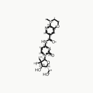 CN1CCOc2cc(C(=O)Nc3ccn(C4O[C@H](CO)[C@@H](O)C4(F)I)c(=O)n3)cnc21